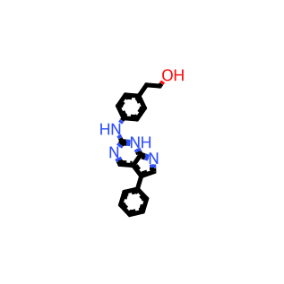 OCCc1ccc(Nc2ncc3c(-c4ccccc4)cnc-3[nH]2)cc1